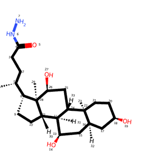 C[C@H](CCC(=O)NN)[C@H]1CC[C@H]2[C@@H]3[C@H](O)C[C@@H]4C[C@H](O)CC[C@]4(C)[C@H]3C[C@H](O)[C@]12C